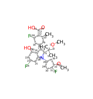 COCC(C)(C)c1c(-c2cc(C)c(C(=O)O)c(F)c2)c2c(O)cc(F)cc2n1-c1ccc(F)c(OC)c1